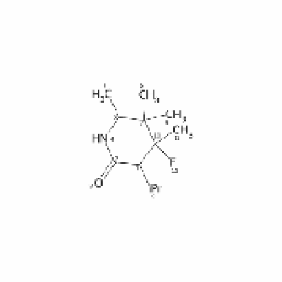 CC(C)C1C(=O)NC(C)C(C)(C)C1(C)F